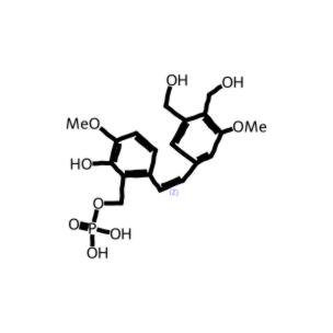 COc1ccc(/C=C\c2cc(CO)c(CO)c(OC)c2)c(COP(=O)(O)O)c1O